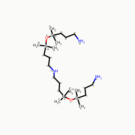 C[Si](C)(CCCN)O[Si](C)(C)CCCNCCC[Si](C)(C)O[Si](C)(C)CCCN